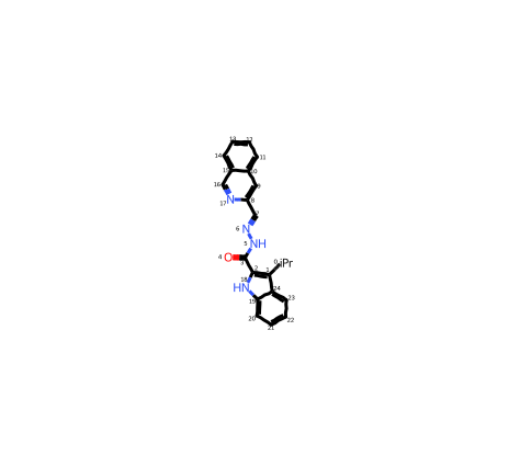 CC(C)c1c(C(=O)NN=Cc2cc3ccccc3cn2)[nH]c2ccccc12